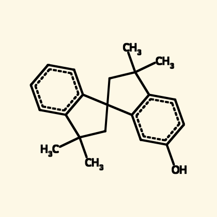 CC1(C)CC2(CC(C)(C)c3ccc(O)cc32)c2ccccc21